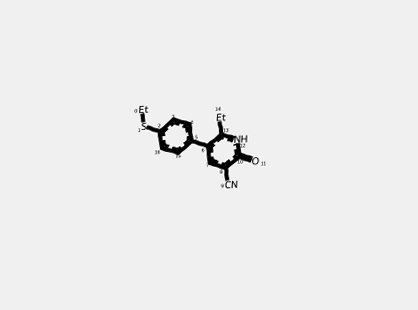 CCSc1ccc(-c2cc(C#N)c(=O)[nH]c2CC)cc1